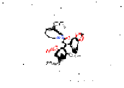 COc1cc(O)c(C(CC(=O)N2CCCC(C(F)(F)F)C2)c2ccc3c(c2)OCO3)c(OC)c1